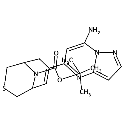 CC(C)(C)OC(=O)N1C2C=C(c3cc(N)n4nccc4n3)CC1CSC2